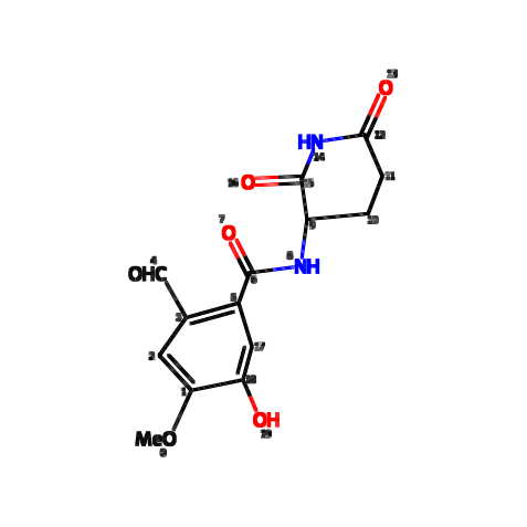 COc1cc(C=O)c(C(=O)NC2CCC(=O)NC2=O)cc1O